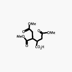 COC(=O)CC(C(=O)O)C(CC(=O)OC)C(=O)OC